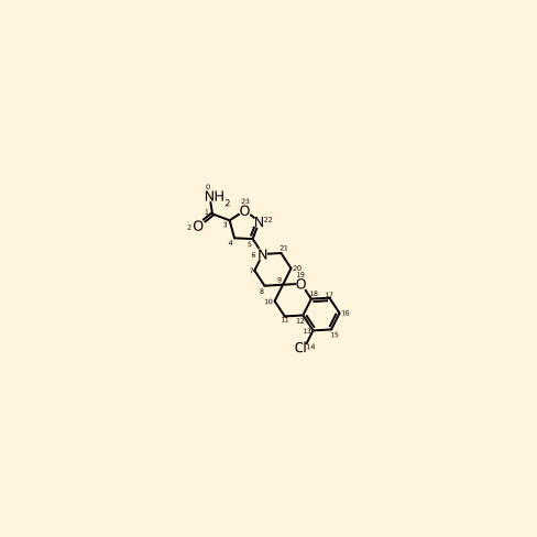 NC(=O)C1CC(N2CCC3(CCc4c(Cl)cccc4O3)CC2)=NO1